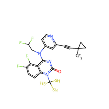 O=c1nc(N(CC(F)F)c2ccnc(C#CC3(C(F)(F)F)CC3)c2)c2c(F)c(F)ccc2n1C(S)(S)S